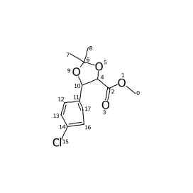 COC(=O)C1OC(C)(C)OC1c1ccc(Cl)cc1